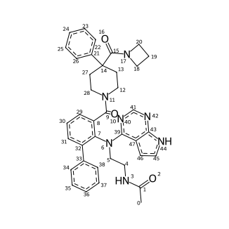 CC(=O)NCCN(c1c(C(=O)N2CCC(C(=O)N3CCC3)(c3ccccc3)CC2)cccc1-c1ccccc1)c1ncnc2[nH]ccc12